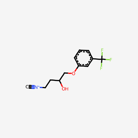 [C-]#[N+]CCC(O)COc1cccc(C(F)(F)F)c1